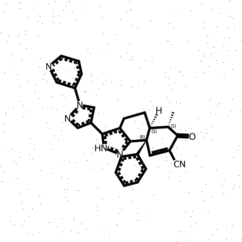 C[C@@H]1C(=O)C(C#N)=C[C@]2(c3ccccc3)c3n[nH]c(-c4cnn(-c5cccnc5)c4)c3CC[C@@H]12